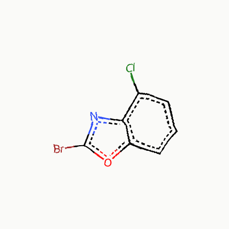 Clc1cccc2oc(Br)nc12